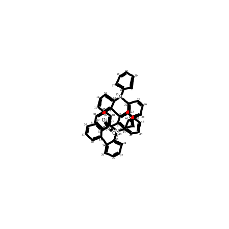 O=S(=O)(c1ccccc1-c1ccccc1N(c1ccccc1)c1ccccc1)c1ccccc1-c1ccccc1N(c1ccccc1)c1ccccc1